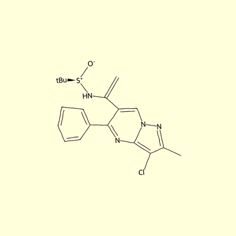 C=C(N[S@+]([O-])C(C)(C)C)c1cn2nc(C)c(Cl)c2nc1-c1ccccc1